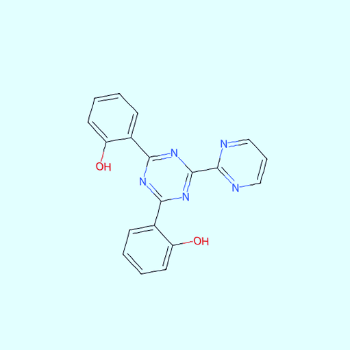 Oc1ccccc1-c1nc(-c2ncccn2)nc(-c2ccccc2O)n1